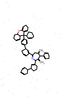 C=C1CC(C2=CC(c3ccc(C4(C5C=CCCC5)C5=CCCC=C5OC5CCC=CC54)cc3)CC=C2)=NC(C2=CC(C3C=CC=CC3)CCC2)C(=C)C1C1=CCCC=C1